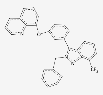 FC(F)(F)c1cccc2c(-c3cccc(Oc4cccc5cccnc45)c3)n(Cc3ccccc3)nc12